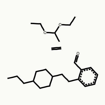 C=C.CCCC1CCC(CCc2ccccc2C=O)CC1.CCOC(C)OCC